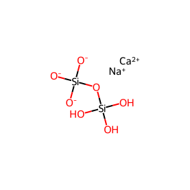 [Ca+2].[Na+].[O-][Si]([O-])([O-])O[Si](O)(O)O